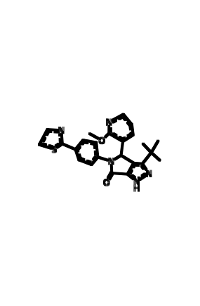 COc1ncccc1C1c2c(C(C)(C)C)n[nH]c2C(=O)N1c1ccc(-c2nccs2)cc1